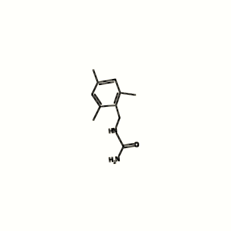 Cc1cc(C)c(CNC(N)=O)c(C)c1